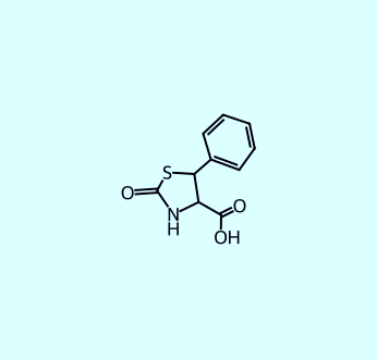 O=C1NC(C(=O)O)C(c2ccccc2)S1